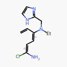 C=C/C(=C\C=C(/N)Cl)N(CC)Cc1ncc[nH]1